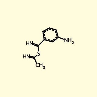 CC(=N)SC(=N)c1cccc(N)c1